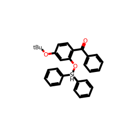 CC(C)(C)Oc1ccc(C(=O)c2ccccc2)c(O[SiH](c2ccccc2)c2ccccc2)c1